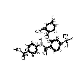 CC(F)(F)c1ccc(C(=O)Nc2ccc(C(=O)O)cc2)c(Oc2ccc(F)cc2Cl)c1